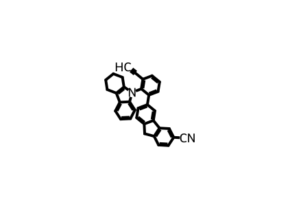 C#Cc1cccc(-c2ccc3c(c2)-c2cc(C#N)ccc2C3)c1-n1c2c(c3ccccc31)CCCC2